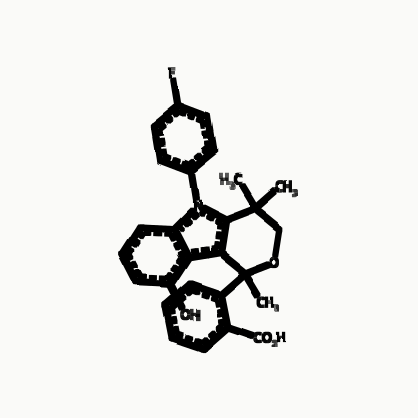 CC1(C)COC(C)(c2ccccc2C(=O)O)c2c1n(-c1ccc(F)cc1)c1cccc(O)c21